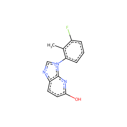 Cc1c(F)cccc1-n1cnc2ccc(O)nc21